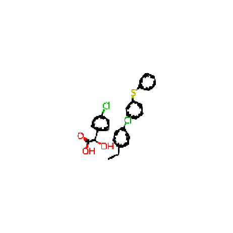 CCc1ccc(Cl)cc1.O=C(O)C(O)c1ccc(Cl)cc1.c1ccc(Sc2ccccc2)cc1